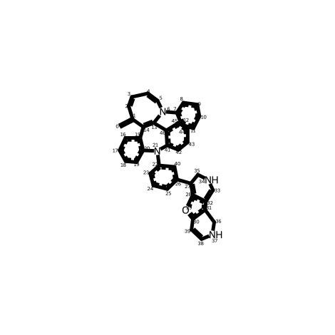 C=C1/C=C\C=C/N(c2ccccc2)C2=C1c1ccccc1N(c1cccc(C3=c4oc5c(c4=CNC3)CNC=C5)c1)c1ccccc12